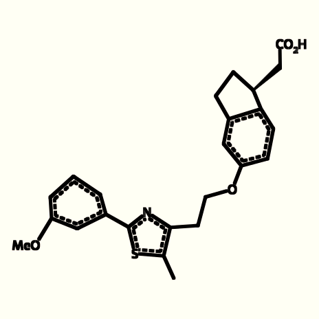 COc1cccc(-c2nc(CCOc3ccc4c(c3)CC[C@H]4CC(=O)O)c(C)s2)c1